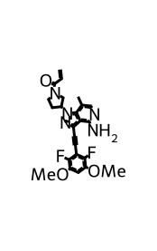 C=CC(=O)N1CCC(n2nc(C#Cc3c(F)c(OC)cc(OC)c3F)c3c(N)ncc(C)c32)C1